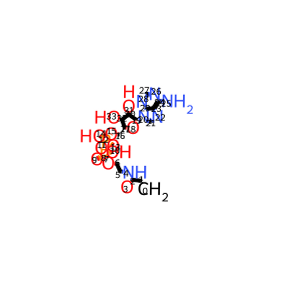 C=CC(=O)NCCOP(=O)(O)OP(=O)(O)OC[C@H]1O[C@@H](n2cnc3c(N)ncnc32)[C@H](O)[C@@H]1O